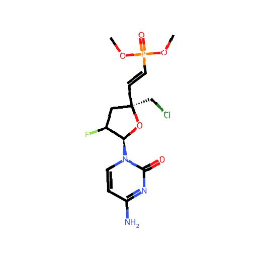 COP(=O)(/C=C/[C@]1(CCl)CC(F)[C@H](n2ccc(N)nc2=O)O1)OC